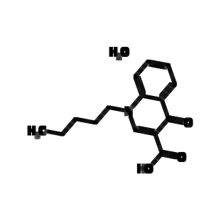 CCCCCn1cc(C(=O)O)c(=O)c2ccccc21.O